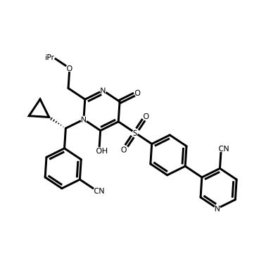 CC(C)OCc1nc(=O)c(S(=O)(=O)c2ccc(-c3cnccc3C#N)cc2)c(O)n1[C@H](c1cccc(C#N)c1)C1CC1